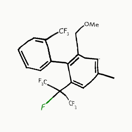 COCc1[c]c(C)cc(C(F)(C(F)(F)F)C(F)(F)F)c1-c1ccccc1C(F)(F)F